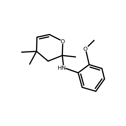 COc1ccccc1NC1(C)CC(C)(C)C=CO1